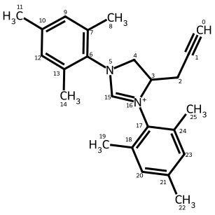 C#CCC1CN(c2c(C)cc(C)cc2C)C=[N+]1c1c(C)cc(C)cc1C